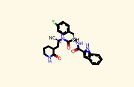 N#C[C@H](CC1CCCNC1=O)NC(=O)[Si@H](Cc1ccc(F)cc1)NC(=O)c1cc2ccccc2[nH]1